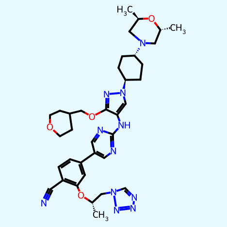 C[C@@H]1CN([C@H]2CC[C@H](n3cc(Nc4ncc(-c5ccc(C#N)c(O[C@@H](C)Cn6cnnn6)c5)cn4)c(OCC4CCOCC4)n3)CC2)C[C@@H](C)O1